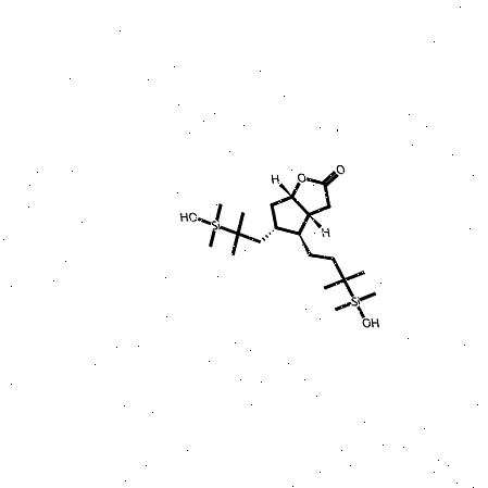 CC(C)(CC[C@H]1[C@H](CC(C)(C)[Si](C)(C)O)C[C@@H]2OC(=O)C[C@H]12)[Si](C)(C)O